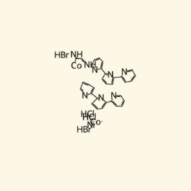 Br.Br.Cl.Cl.N=C[C](=N)[Co].[Co].[Ni].c1ccc(-c2cccc(-c3ccccn3)n2)nc1.c1ccc(-c2cccc(-c3ccccn3)n2)nc1